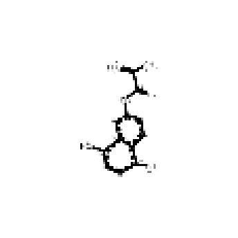 C=C(C)C(=O)Nc1ccc2c(O)ccc(O)c2c1